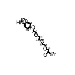 CC(C)Nc1ccc(OCCOCCOCCOCC(=O)C(C)C)cc1